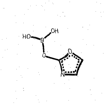 OB(O)Oc1ncco1